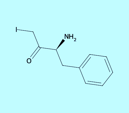 N[C@@H](Cc1ccccc1)C(=O)CI